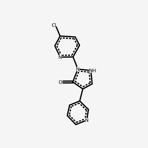 O=c1c(-c2cccnc2)c[nH]n1-c1ccc(Cl)cn1